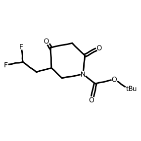 CC(C)(C)OC(=O)N1CC(CC(F)F)C(=O)CC1=O